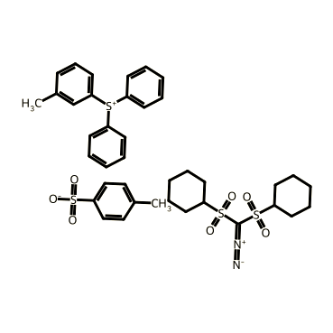 Cc1ccc(S(=O)(=O)[O-])cc1.Cc1cccc([S+](c2ccccc2)c2ccccc2)c1.[N-]=[N+]=C(S(=O)(=O)C1CCCCC1)S(=O)(=O)C1CCCCC1